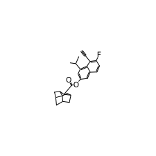 C#Cc1c(F)ccc2cc(OC(=O)C3C4CC5CC6CC3C56C4)cc(C(C)C)c12